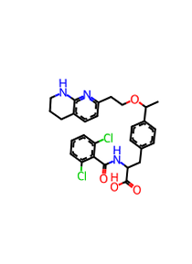 CC(OCCc1ccc2c(n1)NCCC2)c1ccc(CC(NC(=O)c2c(Cl)cccc2Cl)C(=O)O)cc1